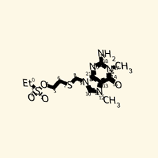 CCS(=O)(=O)OCCSC[n+]1cn(C)c2c(=O)n(C)c(N)nc21